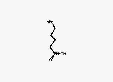 CCCCCCC[PH](=O)O